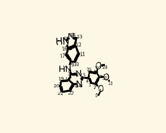 COc1cc(-c2nc(Nc3ccc4cn[nH]c4c3)c3ccccc3n2)cc(OC)c1OC